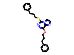 c1ccc(CCCOc2nnc(SCCCc3ccccc3)n3ccnc23)cc1